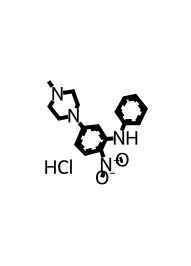 CN1CCN(c2ccc([N+](=O)[O-])c(Nc3ccccc3)c2)CC1.Cl